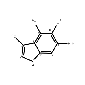 Fc1cc2s[c]c(F)c2c(F)c1F